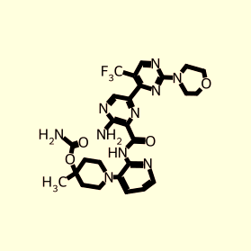 CC1(OC(N)=O)CCN(c2cccnc2NC(=O)c2nc(-c3nc(N4CCOCC4)ncc3C(F)(F)F)cnc2N)CC1